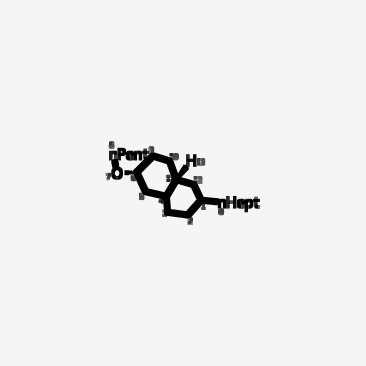 CCCCCCCC1CCC2C[C@H](OCCCCC)CC[C@@H]2C1